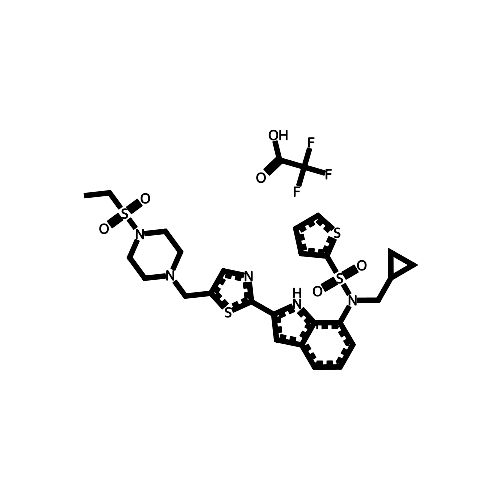 CCS(=O)(=O)N1CCN(Cc2cnc(-c3cc4cccc(N(CC5CC5)S(=O)(=O)c5cccs5)c4[nH]3)s2)CC1.O=C(O)C(F)(F)F